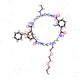 CCCOCCOCCN1CCNC(=O)c2cccc(c2C)C(=O)NCCN(CCC)CCNC(=O)c2cccc(c2OCc2ccccc2)C(=O)NCC1